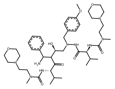 COc1ccc(CN(C[C@H](O)C(C(=O)[C@@H](NC(=O)N(C)CCN2CCOCC2)C(C)C)C(N)c2ccccc2)NC(=O)[C@@H](NC(=O)N(C)CCN2CCOCC2)C(C)C)cc1